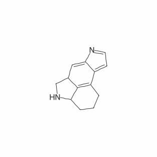 C1=NC2=CC3CNC4CCCC(=C34)C2=C1